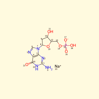 Nc1nc2c(ncn2C2CC(O)C(COP(=O)([O-])O)O2)c(=O)[nH]1.[Na+]